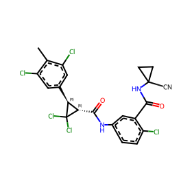 Cc1c(Cl)cc([C@H]2[C@H](C(=O)Nc3ccc(Cl)c(C(=O)NC4(C#N)CC4)c3)C2(Cl)Cl)cc1Cl